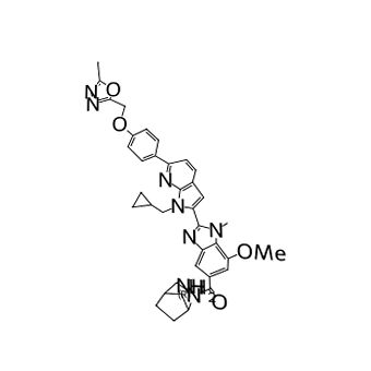 COc1cc(C(=O)N2CC3CCC2[C@@H]3N)cc2nc(-c3cc4ccc(-c5ccc(OCc6nnc(C)o6)cc5)nc4n3CC3CC3)n(C)c12